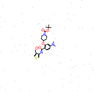 CN(C)c1ccc(C2=Nc3cscc3COO2)c(OC2CCN(C(=O)OC(C)(C)C)CC2)c1